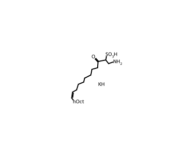 CCCCCCCC/C=C\CCCCCCCC(=O)C(CN)S(=O)(=O)O.[KH]